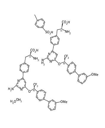 COc1cccc(-c2ccc([C@@H](Oc3cc(-c4ccc(C[C@H](N)C(=O)O)cc4)nc(N)n3)C(F)(F)F)cc2)c1.COc1cccc(-c2ccc([C@@H](Oc3cc(-c4ccc(C[C@H](N)C(=O)O)cc4)nc(N)n3)C(F)(F)F)cc2)c1.Cc1ccc(S(=O)(=O)O)cc1.O.O